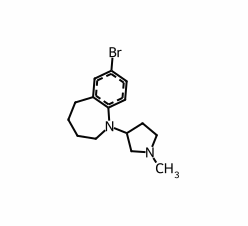 CN1CCC(N2CCCCc3cc(Br)ccc32)C1